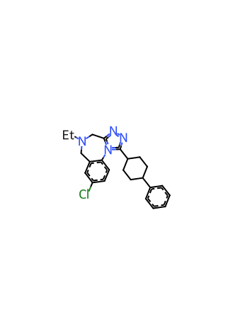 CCN1Cc2cc(Cl)ccc2-n2c(nnc2C2CCC(c3ccccc3)CC2)C1